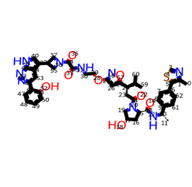 Cc1ncsc1-c1ccc([C@H](C)NC(=O)[C@@H]2C[C@@H](O)CN2C(=O)C[C@@H](c2cc(OCCNC(=O)C(=O)N3CC(c4c[nH]c5nnc(-c6ccccc6O)cc45)C3)no2)C(C)C)cc1